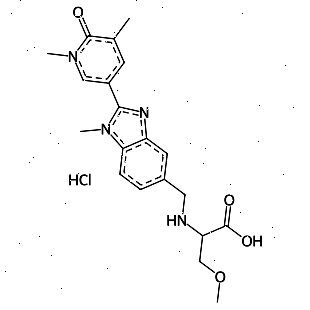 COCC(NCc1ccc2c(c1)nc(-c1cc(C)c(=O)n(C)c1)n2C)C(=O)O.Cl